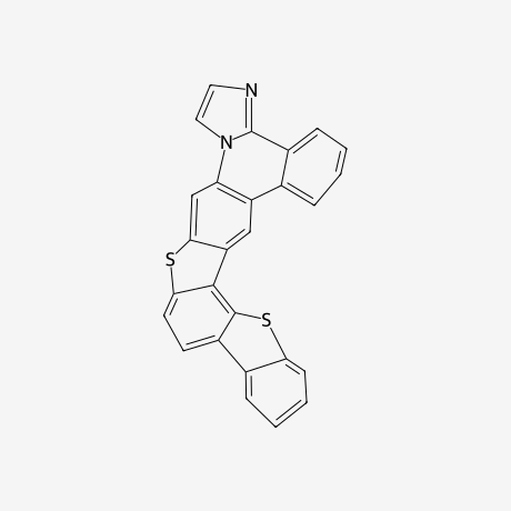 c1ccc2c(c1)sc1c2ccc2sc3cc4c(cc3c21)c1ccccc1c1nccn41